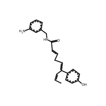 C/C=C\C(=C/C/C=C/C(=O)NCc1cccc(N)c1)c1ccc(O)cc1